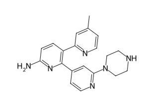 Cc1ccnc(-c2ccc(N)nc2-c2ccnc(N3CCNCC3)c2)c1